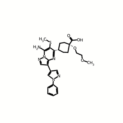 COCCO[C@]1(C(=O)O)CC[C@H](c2nc3c(-c4cnn(-c5ccccc5)c4)cnn3c(N)c2SC)CC1